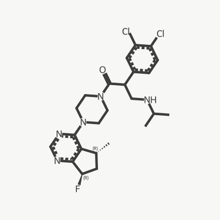 CC(C)NCC(C(=O)N1CCN(c2ncnc3c2[C@H](C)C[C@H]3F)CC1)c1ccc(Cl)c(Cl)c1